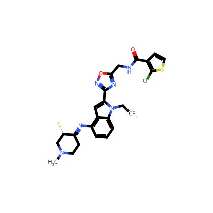 CN1CC/C(=N\c2cccc3c2cc(-c2noc(CNC(=O)c4ccsc4Cl)n2)n3CC(F)(F)F)[C@@H](F)C1